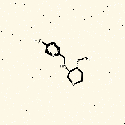 CO[C@@H]1CCOC[C@H]1NCc1ccc(C)cn1